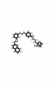 c1cc(CCCc2ccc(OCCCc3nnn[nH]3)cc2)cc(OCc2ccc3ccccc3n2)c1